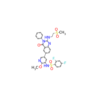 COc1ncc(-c2ccc3nc(NCCS(C)(=O)=O)n(-c4ccccc4)c(=O)c3c2)cc1NS(=O)(=O)c1ccc(F)cc1F